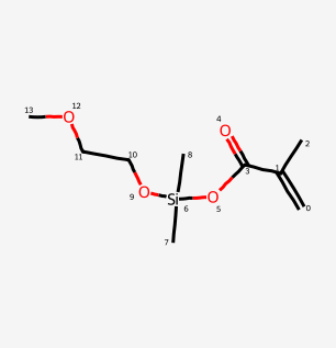 C=C(C)C(=O)O[Si](C)(C)OCCOC